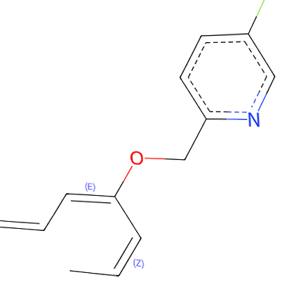 C=C/C=C(\C=C/C)OCc1ccc(F)cn1